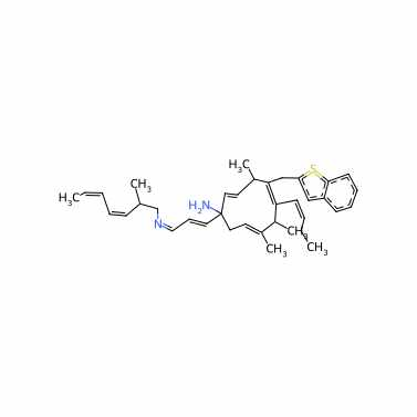 C/C=C\C=C/C(C)C/N=C\C=C\C1(N)/C=C/C(C)/C(Cc2cc3ccccc3s2)=C(/C=C\CC)C(C)/C(C)=C/C1